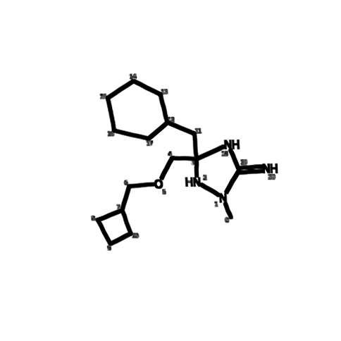 CN1NC(COCC2CCC2)(CC2CCCCC2)NC1=N